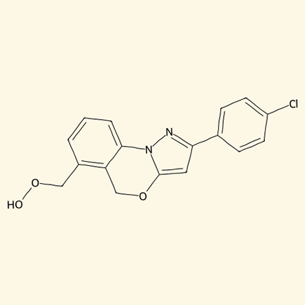 OOCc1cccc2c1COc1cc(-c3ccc(Cl)cc3)nn1-2